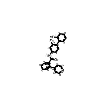 O=C(Nc1ccc(-c2ccccc2F)c(F)c1)c1c(-c2ccncc2)c2ccc1o2